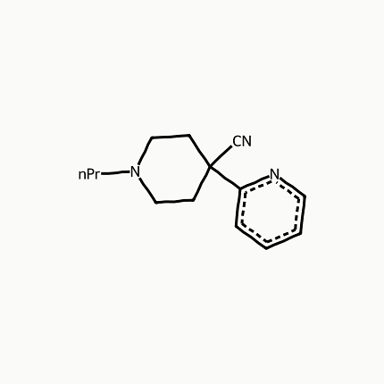 [CH2]CCN1CCC(C#N)(c2ccccn2)CC1